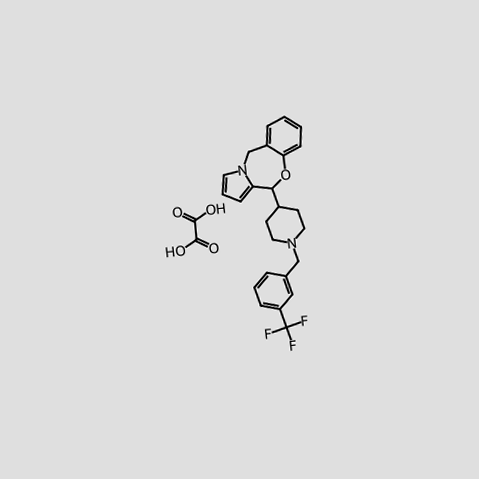 FC(F)(F)c1cccc(CN2CCC(C3Oc4ccccc4Cn4cccc43)CC2)c1.O=C(O)C(=O)O